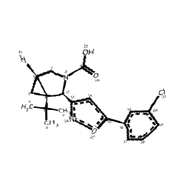 CC(C)(C)[C@@]12C[C@@H]1CN(C(=O)O)[C@H]2c1cc(-c2cccc(Cl)c2)on1